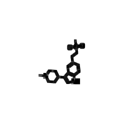 CN1CCC(c2c[nH]c3ccc(CCS(C)(=O)=O)cc23)CC1